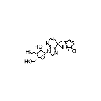 NC1(Cc2csc(Cl)c2)N=CN=C2C1=NCN2[C@@H]1O[C@H](CO)[C@@H](O)[C@H]1O